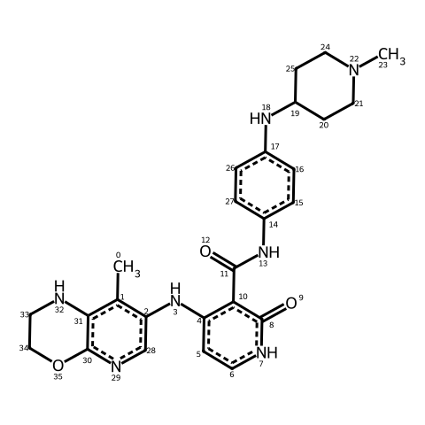 Cc1c(Nc2cc[nH]c(=O)c2C(=O)Nc2ccc(NC3CCN(C)CC3)cc2)cnc2c1NCCO2